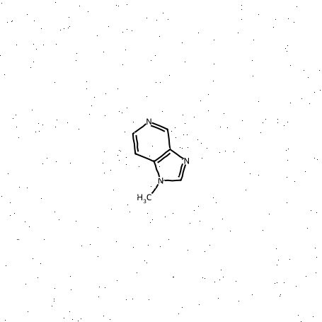 Cn1cnc2cnccc21